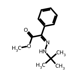 COC(=O)C(=NNC(C)(C)C)c1ccccc1